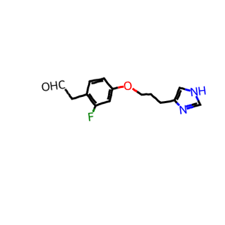 O=CCc1ccc(OCCCc2c[nH]cn2)cc1F